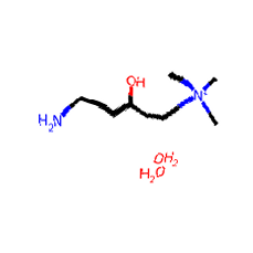 C[N+](C)(C)CC(O)CCN.O.O